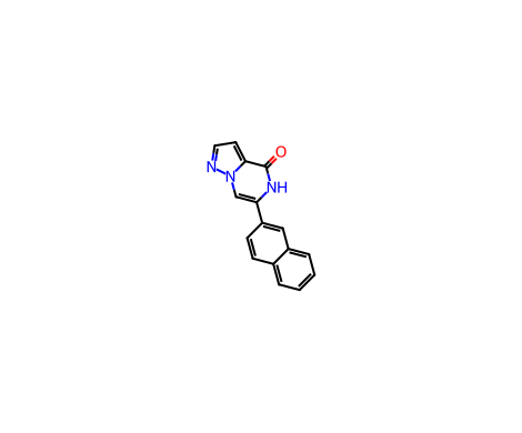 O=c1[nH]c(-c2ccc3ccccc3c2)cn2nccc12